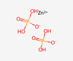 O=P([O-])(O)O.O=P([O-])(O)O.[Zn+2]